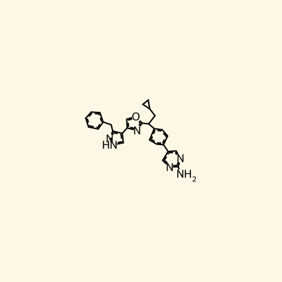 Nc1ncc(-c2ccc(C(CC3CC3)c3nc(-c4c[nH]nc4Cc4ccccc4)co3)cc2)cn1